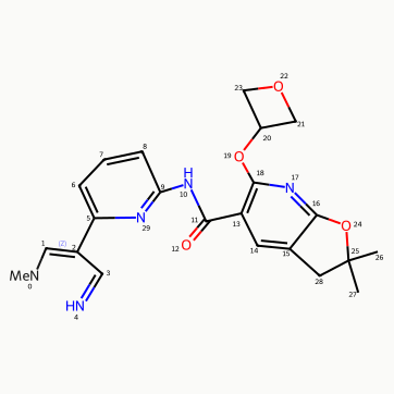 CN/C=C(\C=N)c1cccc(NC(=O)c2cc3c(nc2OC2COC2)OC(C)(C)C3)n1